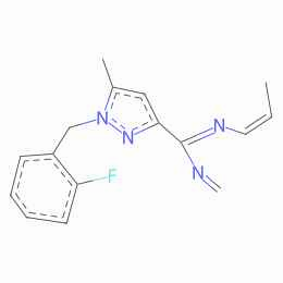 C=N/C(=N\C=C/C)c1cc(C)n(Cc2ccccc2F)n1